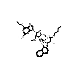 CCCCOC(=O)[C@H](C)NP(=O)(OC[C@H]1O[C@@H](n2cnc3c(OCC)nc(N)nc32)[C@](C)(SC)[C@@H]1O)Oc1cccc2ccccc12